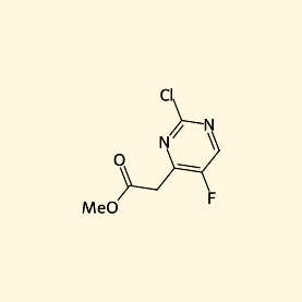 COC(=O)Cc1nc(Cl)ncc1F